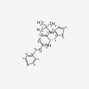 CC(C)(C)NC(=O)[C@H](Cc1cccs1)NC(=O)OCc1ccccc1